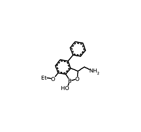 CCOc1ccc(-c2ccccc2)c2c1B(O)OC2CN